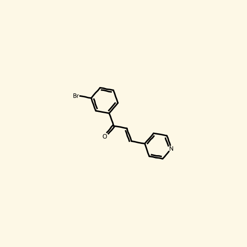 O=C(/C=C/c1ccncc1)c1cccc(Br)c1